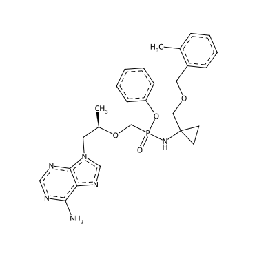 Cc1ccccc1COCC1(NP(=O)(CO[C@H](C)Cn2cnc3c(N)ncnc32)Oc2ccccc2)CC1